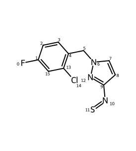 Fc1ccc(Cn2ccc(N=S)n2)c(Cl)c1